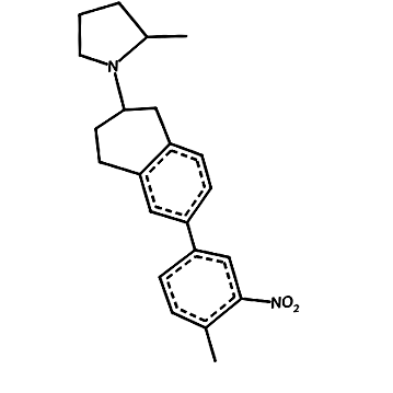 Cc1ccc(-c2ccc3c(c2)CCC(N2CCCC2C)C3)cc1[N+](=O)[O-]